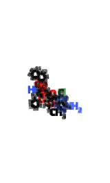 CCCCCOC(=O)[C@H](Cc1ccccc1)NP(=O)(OC[C@@H]1C[C@H](O)[C@H](n2c(Cl)nc3c(N)ncnc32)O1)Oc1cccc2ccccc12